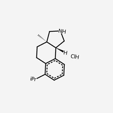 CC(C)c1cccc2c1CC[C@@]1(C)CNC[C@H]21.Cl